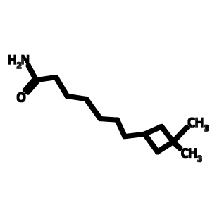 CC1(C)CC(CCCCCCC(N)=O)C1